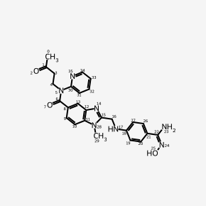 CC(=O)CCN(C(=O)c1ccc2c(c1)nc(CNc1ccc(/C(N)=N\O)cc1)n2C)c1ccccn1